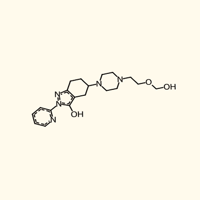 OCOCCN1CCN(C2CCc3nn(-c4ccccn4)c(O)c3C2)CC1